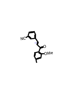 COc1cc(C)ccc1C(=O)/C=C/c1cccc(C#N)c1